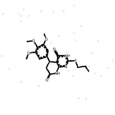 CCCSc1nc2c(c(=O)[nH]1)C(c1cc(OC)c(OC)c(OC)c1)CC(=O)N2